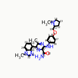 Cc1nc(Nc2ccc(OCC3CCCN3C)cc2)c(C(N)=O)nc1-c1cccc2c1ncn2C